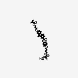 C=C(C)C(=O)OCCCOc1ccc2c(c1)C(C)c1cc(C(=O)Oc3ccc(OCCCCOC(=O)C(=C)CO)cc3)ccc1-2